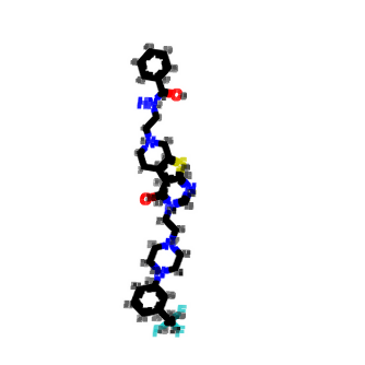 O=C(NCCN1CCc2c(sc3ncn(CCN4CCN(c5cccc(C(F)(F)F)c5)CC4)c(=O)c23)C1)c1ccccc1